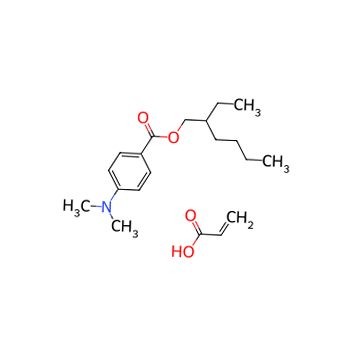 C=CC(=O)O.CCCCC(CC)COC(=O)c1ccc(N(C)C)cc1